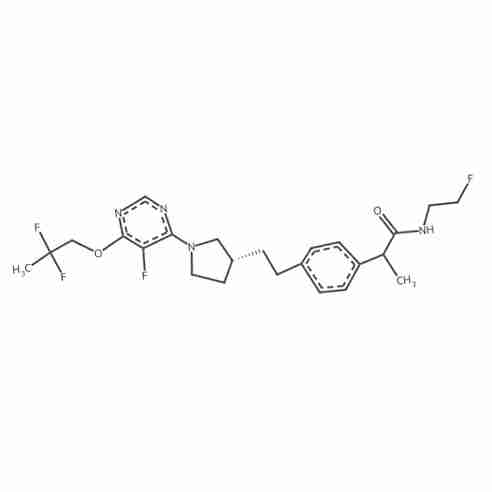 CC(C(=O)NCCF)c1ccc(CC[C@@H]2CCN(c3ncnc(OCC(C)(F)F)c3F)C2)cc1